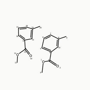 COC(=O)c1cccc(C)c1.COC(=O)c1cccc(C)c1